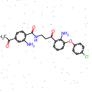 CC(=O)c1ccc(C(=O)NCCC(=O)c2cccc(Oc3ccc(Cl)cc3)c2N)c(N)c1